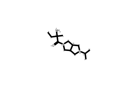 CCC(C)(N)C(=O)N1CC2CN(C(C)C)CC2C1